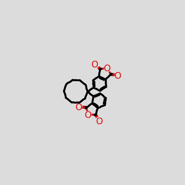 O=C1OC(=O)c2cc(C3(c4cccc5c4C(=O)OC5=O)CCCCCCCCC3)ccc21